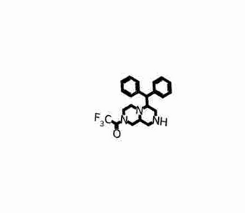 O=C(N1CCN2C(CNCC2C(c2ccccc2)c2ccccc2)C1)C(F)(F)F